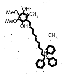 C.COc1c(O)c(C)c(CCCCCCCCCC[PH](c2ccccc2)(c2ccccc2)c2ccccc2)c(O)c1OC